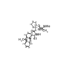 CC[C@H](C(=N)C(=O)[C@@H](NC(=O)[C@H](C)NC)C1CCCCC1)c1cccc(N(C)c2ccccc2F)n1